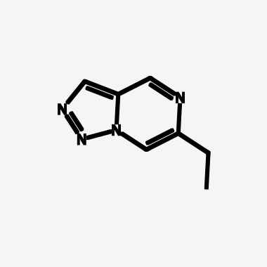 CCc1cn2nncc2cn1